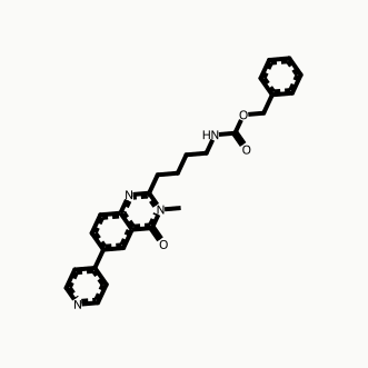 Cn1c(CCCCNC(=O)OCc2ccccc2)nc2ccc(-c3ccncc3)cc2c1=O